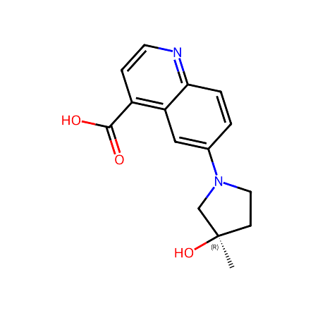 C[C@@]1(O)CCN(c2ccc3nccc(C(=O)O)c3c2)C1